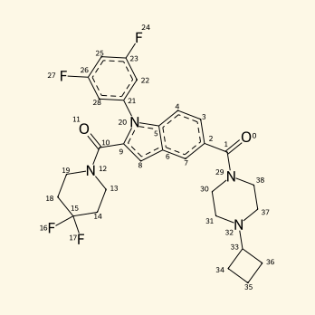 O=C(c1ccc2c(c1)cc(C(=O)N1CCC(F)(F)CC1)n2-c1cc(F)cc(F)c1)N1CCN(C2CCC2)CC1